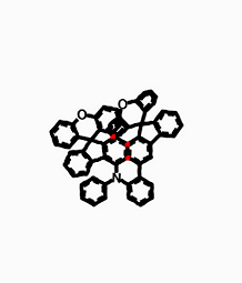 c1ccc(N(c2ccccc2-c2ccc3c(c2)-c2ccccc2C32c3ccccc3Oc3ccccc32)c2cccc3c2-c2ccccc2C32c3ccccc3Oc3ccccc32)cc1